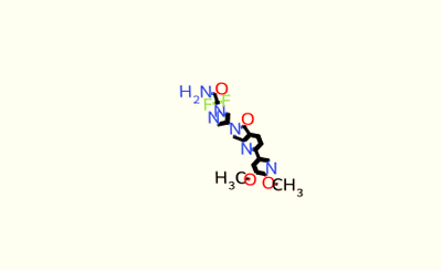 COc1cc(-c2ccc3c(n2)CN(c2cnn(C(F)(F)C(N)=O)c2)C3=O)cnc1OC